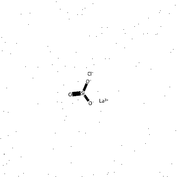 O=[Si]([O-])[O-].[Cl-].[La+3]